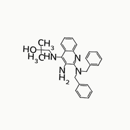 CC(C)(O)CNc1c(N)c(N(Cc2ccccc2)Cc2ccccc2)nc2ccccc12